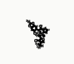 [2H]C1Oc2cc(C)c(CC(=O)c3sccc3S(=O)(=O)N([2H])c3onc(C([2H])([2H])[2H])c3Cl)cc2O1